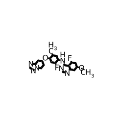 COc1cc(F)c2c(Nc3cc(C)c(Oc4ccn5ncnc5c4)cc3F)ncnc2c1